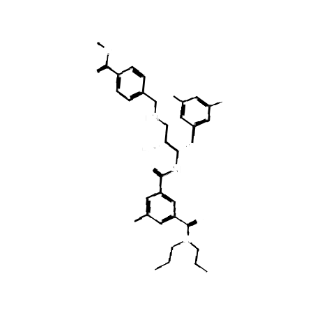 CCCN(CCC)C(=O)c1cc(C)cc(C(=O)N[C@@H](Cc2cc(F)cc(F)c2)[C@H](O)CNCc2ccc(C(=O)OC)cc2)c1